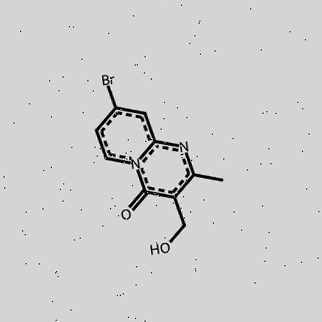 Cc1nc2cc(Br)ccn2c(=O)c1CO